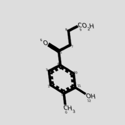 Cc1ccc(C(=O)CCC(=O)O)cc1O